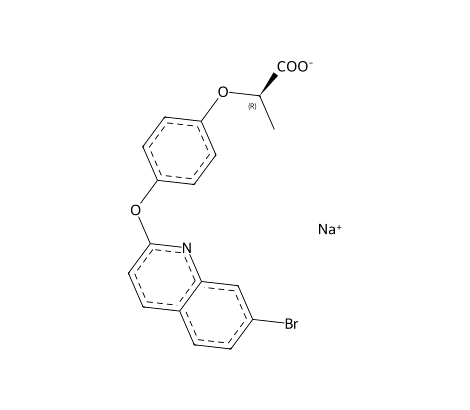 C[C@@H](Oc1ccc(Oc2ccc3ccc(Br)cc3n2)cc1)C(=O)[O-].[Na+]